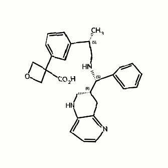 C[C@H](CN[C@H](c1ccccc1)[C@H]1CNc2cccnc2C1)c1cccc(C2(C(=O)O)COC2)c1